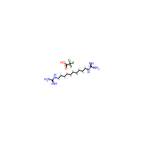 N=C(N)NCCCCCCCCCCNC(=N)N.O=C(O)C(F)(F)F